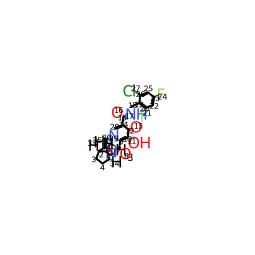 C[C@H]1[C@H]2CC[C@@H]1N1C(=O)c3c(O)c(=O)c(C(=O)NCc4c(F)cc(F)cc4Cl)cn3C[C@@H]21